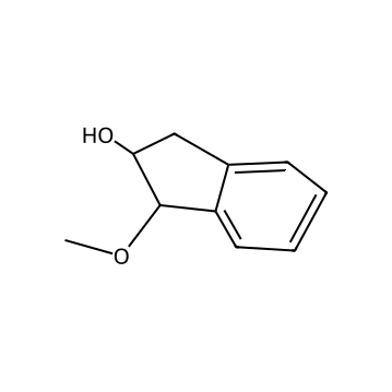 COC1c2ccccc2CC1O